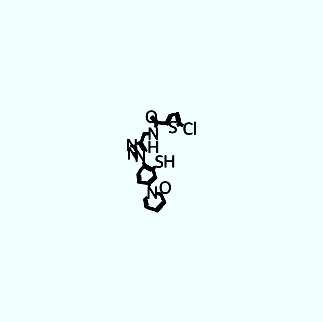 O=C(NCc1cn(-c2ccc(-n3ccccc3=O)cc2S)nn1)c1ccc(Cl)s1